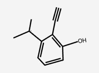 C#Cc1c(O)cccc1[C](C)C